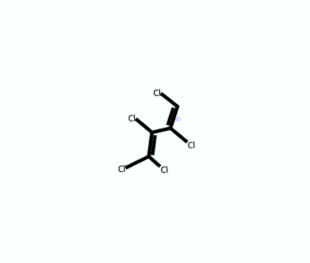 Cl/C=C(/Cl)C(Cl)=C(Cl)Cl